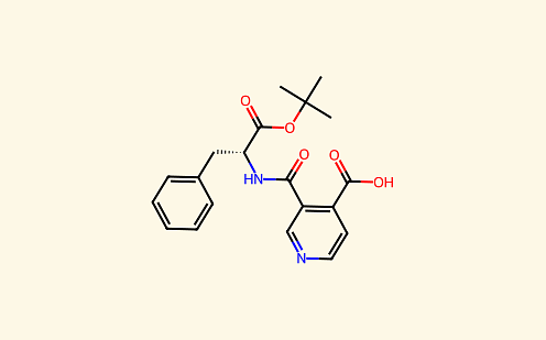 CC(C)(C)OC(=O)[C@@H](Cc1ccccc1)NC(=O)c1cnccc1C(=O)O